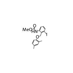 COC(=O)Nc1cccc(I)c1COc1ccc(C)cc1C